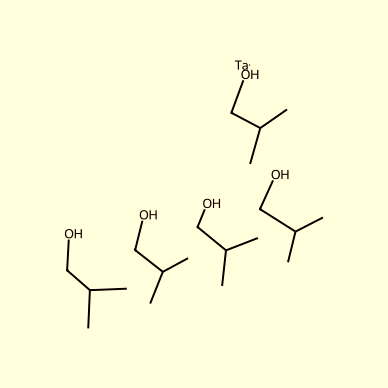 CC(C)CO.CC(C)CO.CC(C)CO.CC(C)CO.CC(C)CO.[Ta]